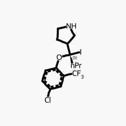 CCC[C@@](I)(Oc1ccc(Cl)cc1C(F)(F)F)C1CCNC1